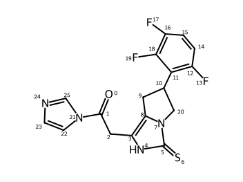 O=C(Cc1[nH]c(=S)n2c1CC(c1c(F)ccc(F)c1F)C2)n1ccnc1